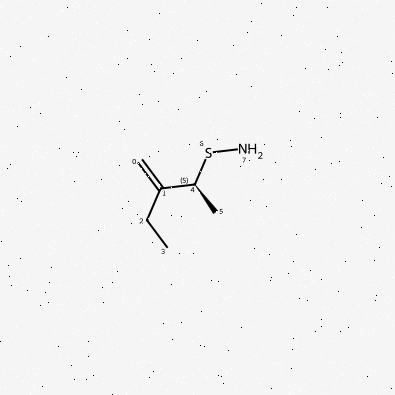 C=C(CC)[C@H](C)SN